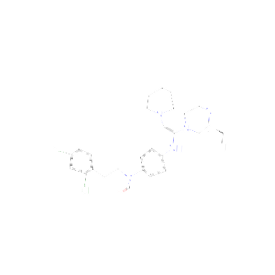 CC[C@H]1CN(/C(=C\N2CCCCC2)Nc2ccc(N(C=O)CCc3ccc(Cl)cc3Cl)cc2)CCN1